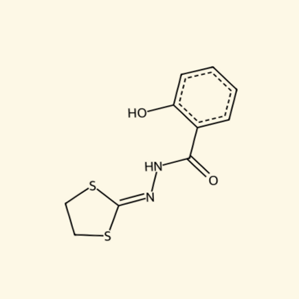 O=C(NN=C1SCCS1)c1ccccc1O